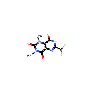 CCCCn1c(=O)n(C)c(=O)c2nc(C(F)F)[nH]c(=O)c21